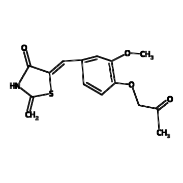 C=c1[nH]c(=O)/c(=C/c2ccc(OCC(C)=O)c(OC)c2)s1